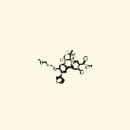 COCCCOc1cc2c(cc1-c1ccsc1)-c1cc(=O)c(C(=O)O)cn1[C@H]1[C@@H]2COC1(C)C